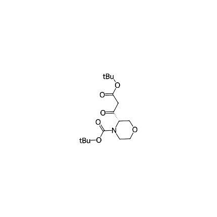 CC(C)(C)OC(=O)CC(=O)[C@@H]1COCCN1C(=O)OC(C)(C)C